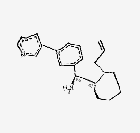 C=CCN1CCCC[C@H]1[C@@H](N)c1cccc(-c2cccnc2)c1